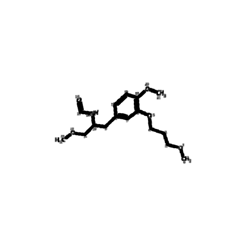 COCCCOc1cc(CC(COC)NC=O)ccc1OC